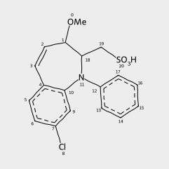 COC1C=Cc2ccc(Cl)cc2N(c2ccccc2)C1CS(=O)(=O)O